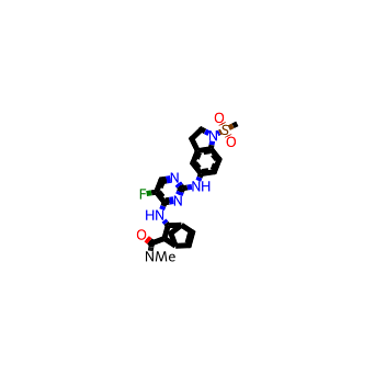 CNC(=O)C1C2C=CC(C2)C1Nc1nc(Nc2ccc3c(c2)CCN3S(C)(=O)=O)ncc1F